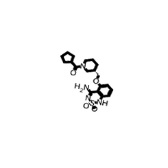 NC1=NS(=O)(=O)Nc2cccc(OC[C@H]3CCCN(C(=O)C4CCCC4)C3)c21